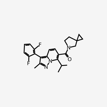 Cc1nn2c(C(C)C)c(C(=O)N3CCC4(CC4)C3)ccc2c1-c1c(F)cccc1F